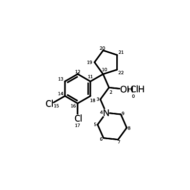 Cl.OC(CN1CCCCC1)C1(c2ccc(Cl)c(Cl)c2)CCCC1